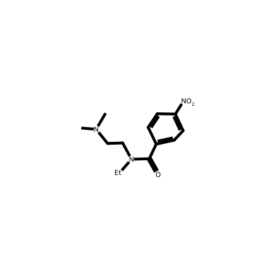 CCN(CCN(C)C)C(=O)c1ccc([N+](=O)[O-])cc1